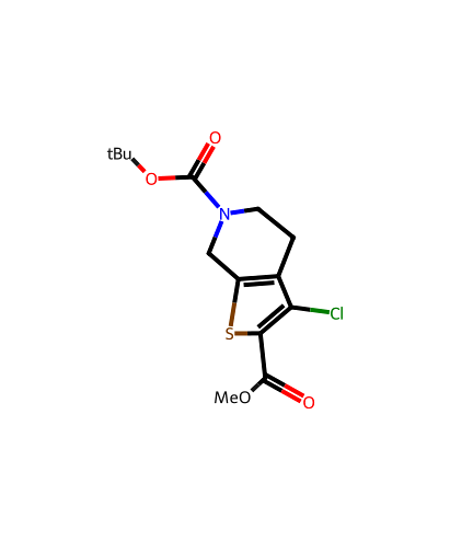 COC(=O)c1sc2c(c1Cl)CCN(C(=O)OC(C)(C)C)C2